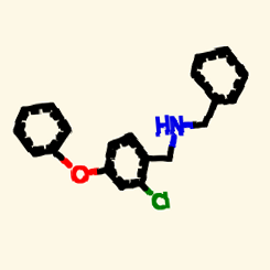 Clc1cc(Oc2ccccc2)ccc1CNCc1ccccc1